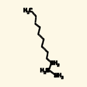 CCCCCCCCC[SiH2][SiH2][SiH3]